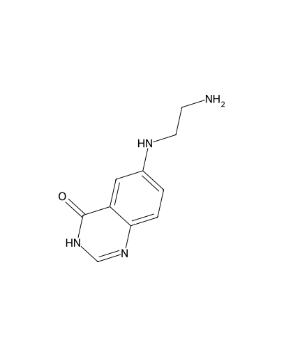 NCCNc1ccc2nc[nH]c(=O)c2c1